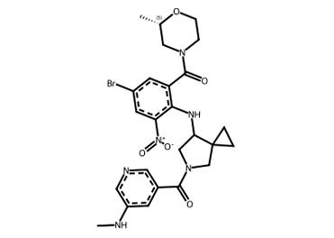 CNc1cncc(C(=O)N2CC(Nc3c(C(=O)N4CCO[C@@H](C)C4)cc(Br)cc3[N+](=O)[O-])C3(CC3)C2)c1